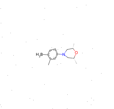 Bc1ccc(N2C[C@@H](C)O[C@@H](C)C2)cc1C